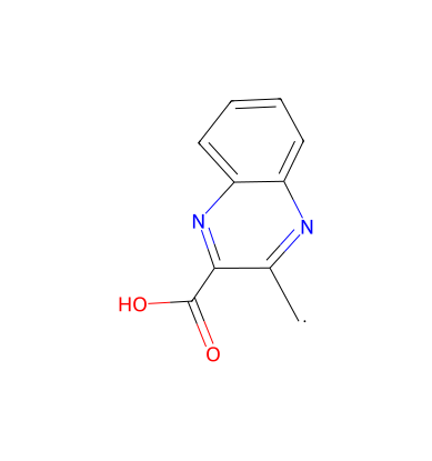 [CH2]c1nc2ccccc2nc1C(=O)O